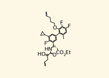 C=CCCCOc1c(F)c(F)cc(C)c1-c1cc(C2CC2)c(F)c([C@H](CC(=O)OCC)NC(=O)[C@H](O)CC=C)c1